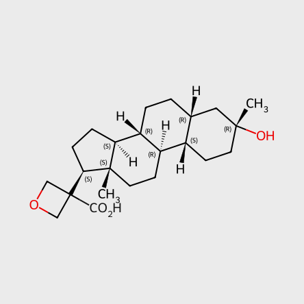 C[C@@]1(O)CC[C@H]2[C@H](CC[C@@H]3[C@@H]2CC[C@]2(C)[C@@H](C4(C(=O)O)COC4)CC[C@@H]32)C1